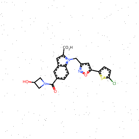 O=C(O)c1cc2cc(C(=O)N3CC(O)C3)ccc2n1Cc1cc(-c2ccc(Cl)s2)on1